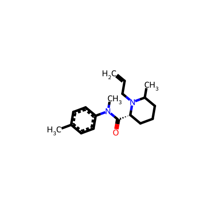 C=CCN1C(C)CCC[C@@H]1C(=O)N(C)c1ccc(C)cc1